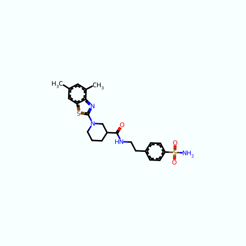 Cc1cc(C)c2nc(N3CCCC(C(=O)NCCc4ccc(S(N)(=O)=O)cc4)C3)sc2c1